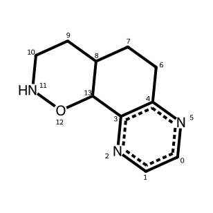 c1cnc2c(n1)CCC1CCNOC21